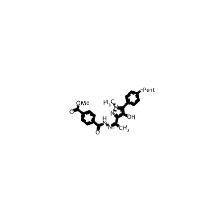 CCCCCc1ccc(-c2c(O)c(/C(C)=N\NC(=O)c3ccc(C(=O)OC)cc3)nn2C)cc1